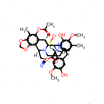 COc1cc2c(cc1O)CCN[C@]21C[S+]([O-])[C@@H]2c3c(OC(C)=O)c(C)c4c(c3[C@H](COC1=O)N1C2C2c3c(cc(C)c(OC)c3O)CC([C@@H]1C#N)N2C)OCO4